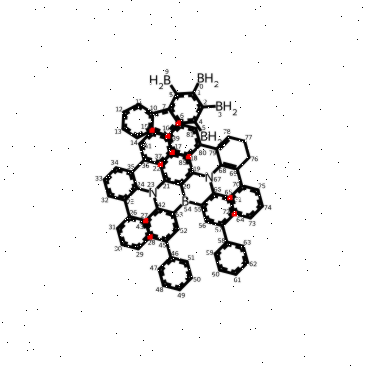 Bc1c(B)c(B)c2c(c1B)c1ccccc1n2-c1cc2c3c(c1)N(c1c(-c4ccccc4)cccc1-c1ccccc1)c1ccc(-c4ccccc4)cc1B3c1cc(-c3ccccc3)ccc1N2C1=C(c2ccccc2)CCC=C1c1ccccc1